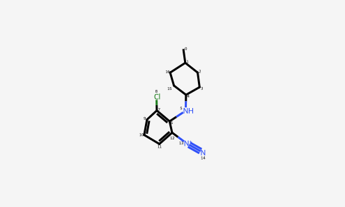 CC1CCC(Nc2c(Cl)cccc2[N+]#N)CC1